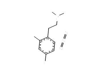 C[SiH](C)CCc1ccc(F)cc1F.[N-]=[N+]=N